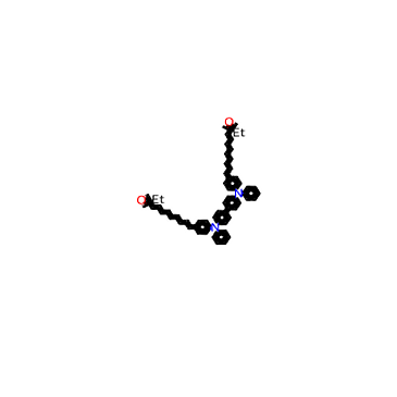 CCC1(CCCCCCCCCc2ccc(N(c3ccccc3)c3ccc(-c4ccc(N(c5ccccc5)c5ccc(CCCCCCCCCC6(CC)COC6)cc5)cc4)cc3)cc2)COC1